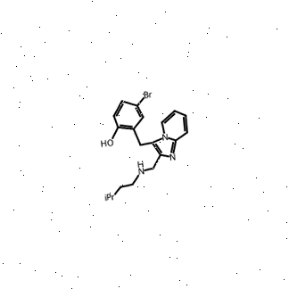 CC(C)CCNCc1nc2ccccn2c1Cc1cc(Br)ccc1O